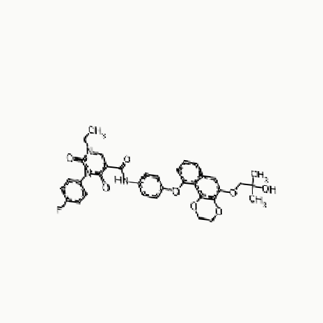 CCn1cc(C(=O)Nc2ccc(Oc3cccc4cc(OCC(C)(C)O)c5c(c34)OCCO5)cc2)c(=O)n(-c2ccc(F)cc2)c1=O